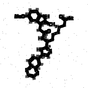 CCC(=O)CCCCCC(NC(=O)Cc1c(C)[nH]c2ccc(OC)cc12)c1ncc(-c2ccc3nccnc3c2)[nH]1